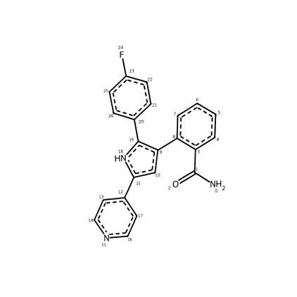 NC(=O)c1ccccc1-c1cc(-c2ccncc2)[nH]c1-c1ccc(F)cc1